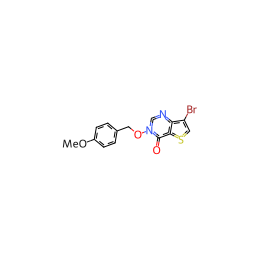 COc1ccc(COn2cnc3c(Br)csc3c2=O)cc1